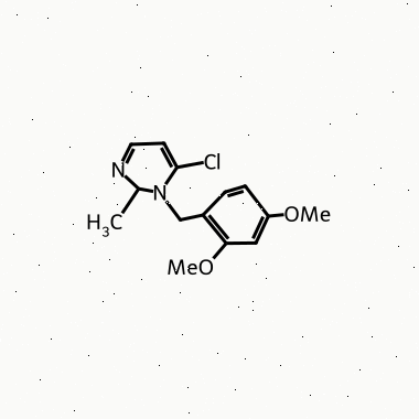 COc1ccc(CN2C(Cl)=CC=NC2C)c(OC)c1